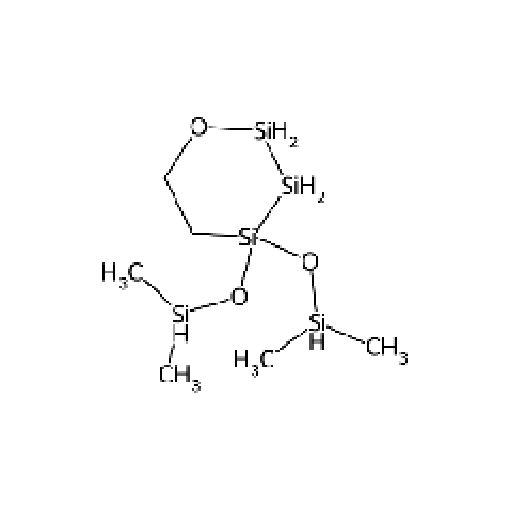 C[SiH](C)O[Si]1(O[SiH](C)C)CCO[SiH2][SiH2]1